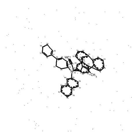 C#C/C=C\C1=C(C)c2c3cccc2-c2cccc1c2-c1cc(N(C2=CC=C(C4=CCCC=C4)CC2)c2ccc4ccccc4c2)ccc1-3